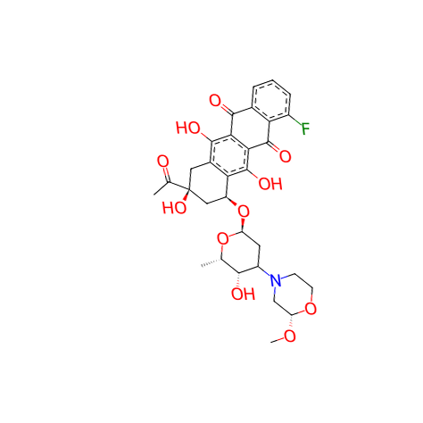 CO[C@@H]1CN(C2C[C@H](O[C@H]3C[C@](O)(C(C)=O)Cc4c(O)c5c(c(O)c43)C(=O)c3c(F)cccc3C5=O)O[C@@H](C)[C@H]2O)CCO1